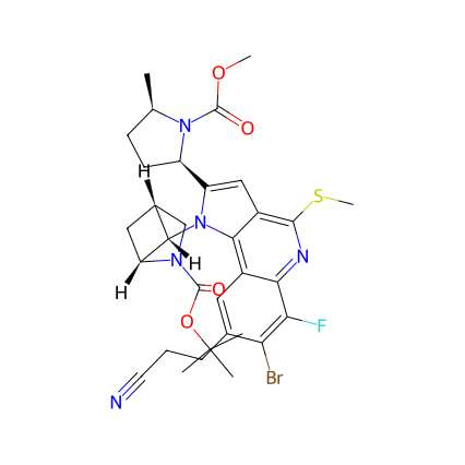 COC(=O)N1[C@H](C)CC[C@@H]1c1cc2c(SC)nc3c(F)c(Br)c(CCC#N)cc3c2n1[C@H]1[C@@H]2C[C@H]1N(C(=O)OC(C)(C)C)C2